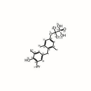 CCC(CC)(Oc1cc(C)c(Cc2cc(I)c(O)c(C(C)C)c2)c(C)c1)P(=O)(O)O